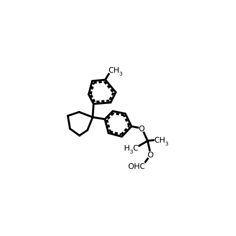 Cc1ccc(C2(c3ccc(OC(C)(C)OC=O)cc3)CCCCC2)cc1